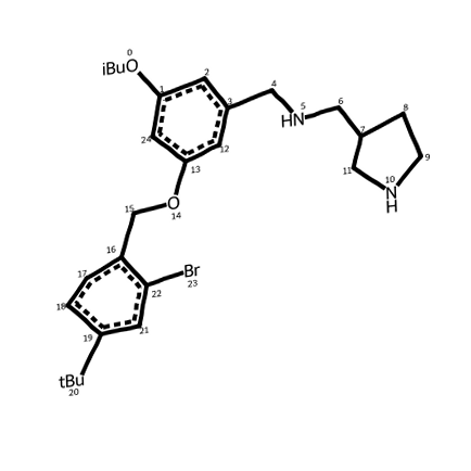 CC(C)COc1cc(CNCC2CCNC2)cc(OCc2ccc(C(C)(C)C)cc2Br)c1